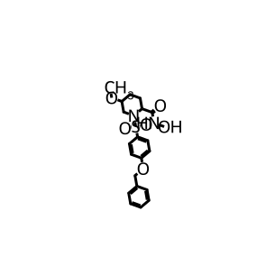 COC1CCC(C(=O)NO)N(S(=O)(=O)c2ccc(OCc3ccccc3)cc2)C1